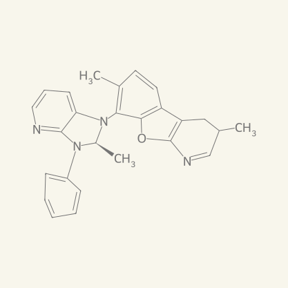 Cc1ccc2c3c(oc2c1N1c2cccnc2N(c2ccccc2)[C@@H]1C)N=CC(C)C3